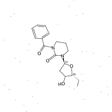 CC[C@H]1O[C@H](N2CCCN(C(=O)c3ccccc3)C2=O)CC1O